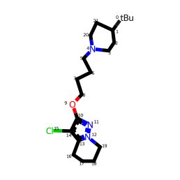 CC(C)(C)C1CCN(CCCCOc2nn3c(c2Cl)CCCC3)CC1